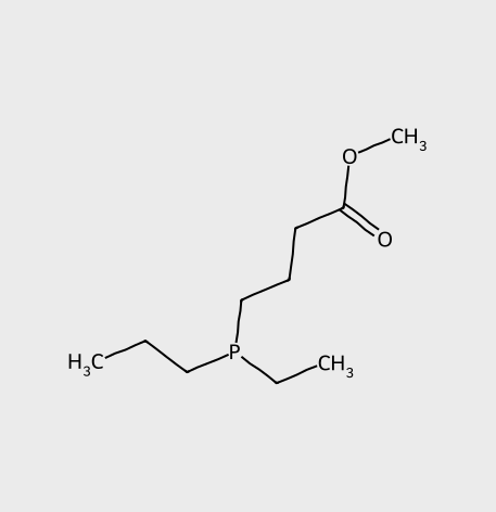 CCCP(CC)CCCC(=O)OC